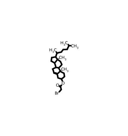 CC(C)CCCC(C)C1CCC2C3CC=C4CC(OC(=O)CBr)CC[C@]4(C)C3CC[C@]12C